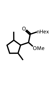 CCCCCCC(=O)C(OC)C1C(C)CCC1C